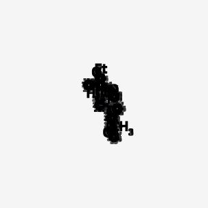 CCOc1ccc2c(c1)N(c1ccccc1)/C(=C/C=C/C1=CC=C/C(=C\C=C\C3=CC(=C/c4oc5ccccc5[n+]4C)/C=CN3c3ccccc3)C1Cl)C=C2/C=C1/Oc2ccccc2N1C